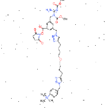 CC(C)(C)OC(=O)/N=C(\N)N(Cc1cc(Cn2cc(CCCCOCCCCc3cn(Cc4ccc([N+](C)(C)C)cc4)nn3)nn2)cc(C(=O)ON2C(=O)CCC2=O)c1)C(=O)OC(C)(C)C